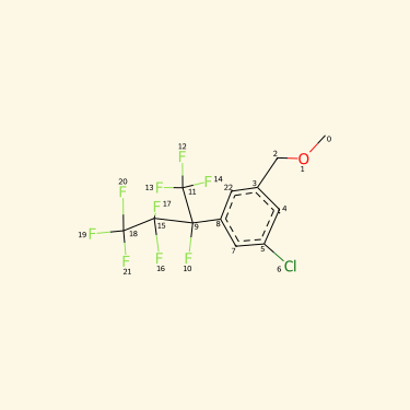 COCc1[c]c(Cl)cc(C(F)(C(F)(F)F)C(F)(F)C(F)(F)F)c1